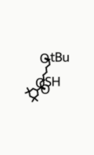 CC1(C)CC(C(=O)OC(S)CCCCC(=O)C(C)(C)C)CC(C)(C)C1